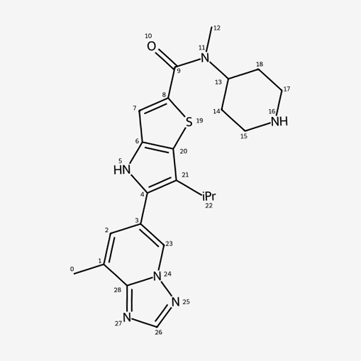 Cc1cc(-c2[nH]c3cc(C(=O)N(C)C4CCNCC4)sc3c2C(C)C)cn2ncnc12